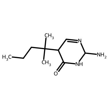 CCCC(C)(C)C1C=NC(N)NC1=O